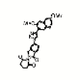 COc1ccc2cc(-c3cn(-c4ccc5c(c4)CN(N4C(=O)CCCC4=O)C5=O)nn3)c(OC)cc2c1